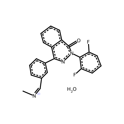 C/N=C\c1cccc(-c2nn(-c3c(F)cccc3F)c(=O)c3ccccc23)c1.O